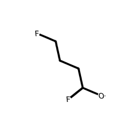 [O]C(F)CCCF